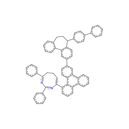 C1=C(c2cccc3c4ccccc4c4cc(-c5ccc6c(c5)-c5ccccc5CCC6c5ccc(-c6ccccc6)cc5)ccc4c23)/N=C(c2ccccc2)\N=C(\c2ccccc2)CC\1